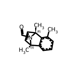 Cc1cccc2c1[C@@]1(C)C=C[C@]2(C)N1C=O